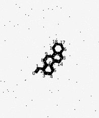 C=Cc1cccc2c1ccc1c3c(ccc12)CCCC3